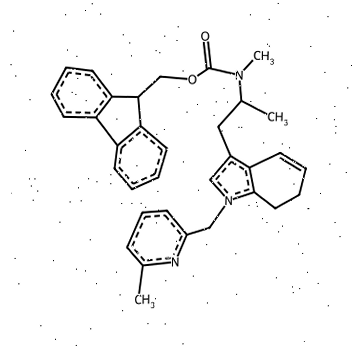 Cc1cccc(Cn2cc(CC(C)N(C)C(=O)OCC3c4ccccc4-c4ccccc43)c3c2CCC=C3)n1